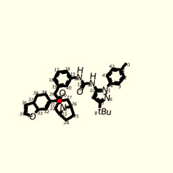 Cc1ccc(-n2nc(C(C)(C)C)cc2NC(=O)Nc2cccc(CC3CC4CCC(C3)N4C(=O)C3=CC4OC=CC4CC3)c2)cc1